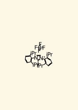 CC(C)c1cccc(C(C)C)c1-n1cc[n+](-c2c(C(C)C)cccc2C(C)C)c1I.F[B-](F)(F)F